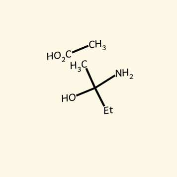 CC(=O)O.CCC(C)(N)O